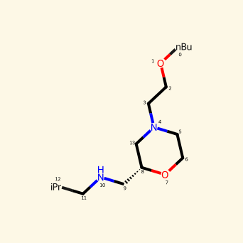 CCCCOCCN1CCO[C@H](CNCC(C)C)C1